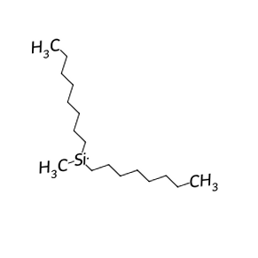 CCCCCCCC[Si](C)CCCCCCCC